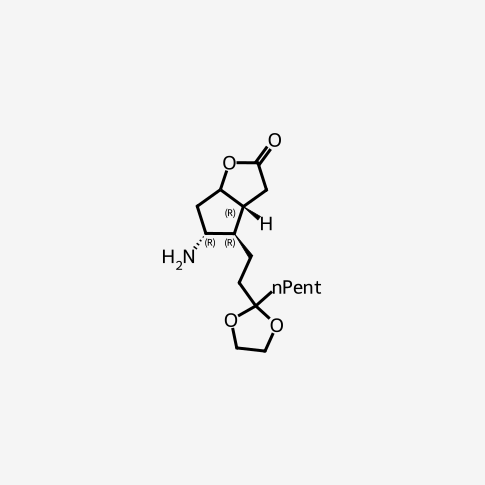 CCCCCC1(CC[C@H]2[C@H](N)CC3OC(=O)C[C@@H]32)OCCO1